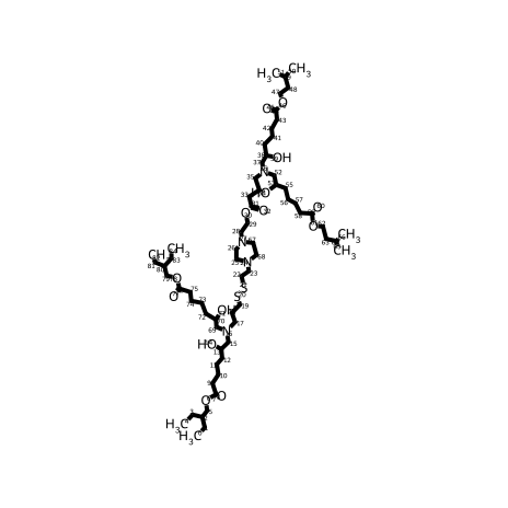 CCC(CC)COC(=O)CCCCC(O)CN(CCCSSCCN1CCN(CCOC(=O)CCCN(CC(O)CCCCC(=O)OCCC(C)C)CC(O)CCCCC(=O)OCCC(C)C)CC1)CC(O)CCCCC(=O)OCC(CC)CC